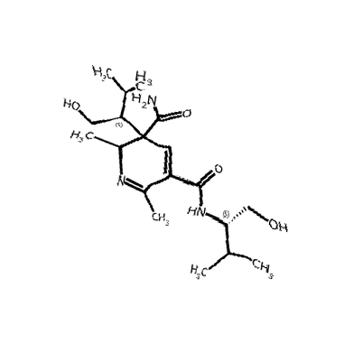 CC1=NC(C)C(C(N)=O)([C@@H](CO)C(C)C)C=C1C(=O)N[C@H](CO)C(C)C